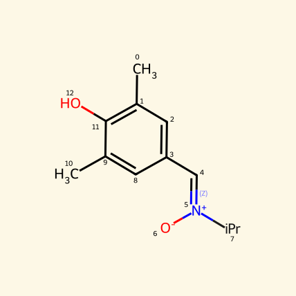 Cc1cc(/C=[N+](\[O-])C(C)C)cc(C)c1O